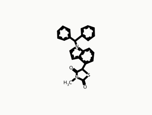 CN1C(=O)SC(c2cccc3c2ccn3C(c2ccccc2)c2ccccc2)C1=O